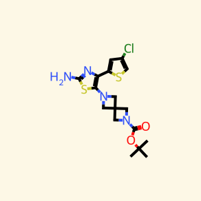 CC(C)(C)OC(=O)N1CC2(C1)CN(c1sc(N)nc1-c1cc(Cl)cs1)C2